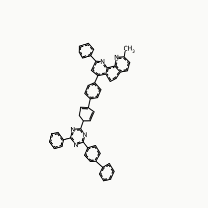 Cc1ccc2ccc3c(-c4ccc(C5=CCC(c6nc(-c7ccccc7)nc(-c7ccc(-c8ccccc8)cc7)n6)C=C5)cc4)cc(-c4ccccc4)nc3c2n1